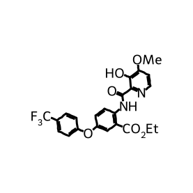 CCOC(=O)c1cc(Oc2ccc(C(F)(F)F)cc2)ccc1NC(=O)c1nccc(OC)c1O